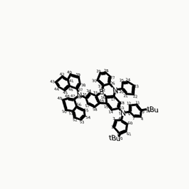 CC(C)(C)c1ccc(N(c2ccc(C(C)(C)C)cc2)c2cc3c4c(c2)N(c2ccccc2)c2ccccc2B4c2cc(N(c4cccc5ccccc45)c4cccc5ccccc45)ccc2-3)cc1